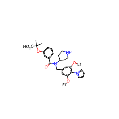 CCOc1cc(CN(C(=O)c2cccc(OC(C)(C)C(=O)O)c2)C2CCNCC2)cc(OCC)c1-n1cccc1